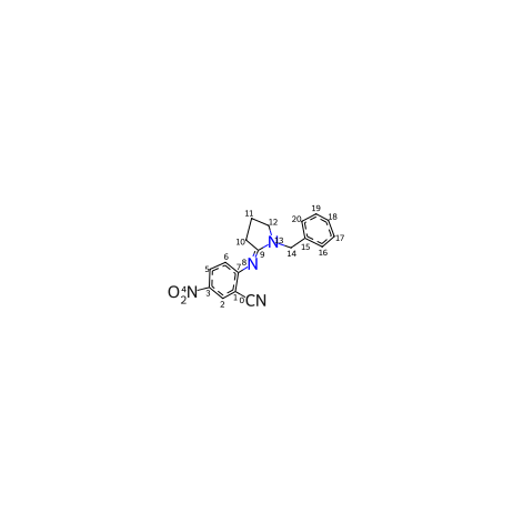 N#Cc1cc([N+](=O)[O-])ccc1N=C1CCCN1Cc1ccccc1